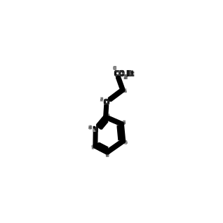 CCOC(=O)COc1[c]cccn1